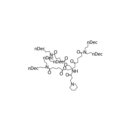 CCCCCCCCCCCCN(CCCCCCCCCCCC)C(=O)CCCC(=O)CC(COC(=O)CCCC(=O)N(CCCCCCCCCCCC)CCCCCCCCCCCC)(COC(=O)CCCC(=O)N(CCCCCCCCCCCC)CCCCCCCCCCCC)NC(=O)CCN1CCCCC1